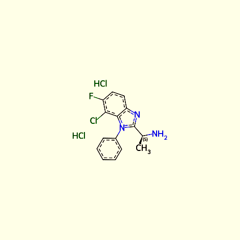 C[C@H](N)c1nc2ccc(F)c(Cl)c2n1-c1ccccc1.Cl.Cl